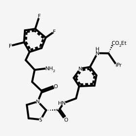 CCOC(=O)[C@@H](Nc1ccc(CNC(=O)[C@@H]2SCCN2C(=O)CC(N)Cc2cc(F)c(F)cc2F)cn1)C(C)C